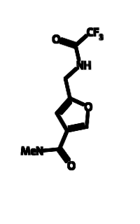 CNC(=O)c1coc(CNC(=O)C(F)(F)F)c1